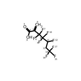 C=C(C(=O)O)C(F)(F)C(F)(F)C(F)CC(F)(F)F